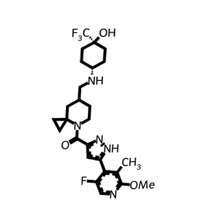 COc1ncc(F)c(-c2cc(C(=O)N3CCC(CN[C@H]4CC[C@@](O)(C(F)(F)F)CC4)CC34CC4)n[nH]2)c1C